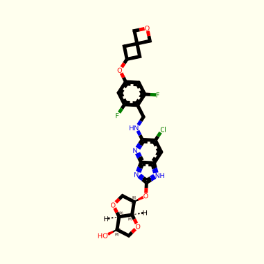 O[C@@H]1CO[C@H]2[C@@H]1OC[C@H]2Oc1nc2nc(NCc3c(F)cc(OC4CC5(COC5)C4)cc3F)c(Cl)cc2[nH]1